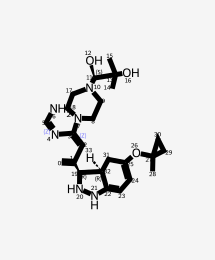 C=C(/C=C(\N=C/N)N1CCN([C@@H](O)C(C)(C)O)CC1)[C@@H]1NNC2=CC=C(OC3(C)CC3)C[C@@H]21